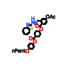 CCCCCOc1ccc(OC(=O)C2CCC(OC(=O)c3ccc(OC(C)=O)cc3/C=N/Nc3nc4c(s3)C=CC=CC4)CC2)cc1